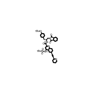 CC(C)(C)Oc1ccc(C[C@@H](CN2C(=O)c3ccccc3C2=O)NC(=O)c2cc(NS(=O)(=O)C(C)(C)C)c3cc(C#Cc4ccccn4)ccc3n2)cc1